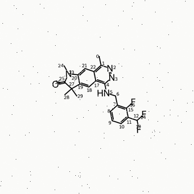 Cc1nnc(NCc2cccc(C(F)F)c2F)c2cc3c(cc12)N(C)C(=O)C3(C)C